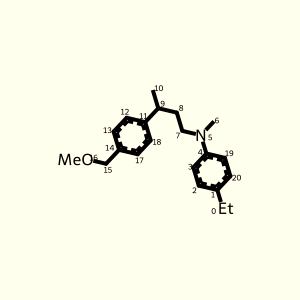 CCc1ccc(N(C)CCC(C)c2ccc(COC)cc2)cc1